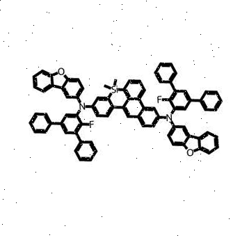 C[Si]1(C)c2cc(N(c3ccc4oc5ccccc5c4c3)c3cc(-c4ccccc4)cc(-c4ccccc4)c3F)ccc2-c2cc3ccc(N(c4ccc5oc6ccccc6c5c4)c4cc(-c5ccccc5)cc(-c5ccccc5)c4F)cc3c3cccc1c23